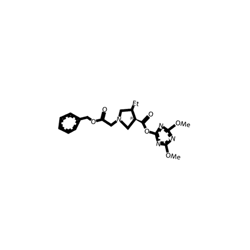 CCC1CN(CC(=O)OCc2ccccc2)C[C@@H]1C(=O)Oc1nc(OC)nc(OC)n1